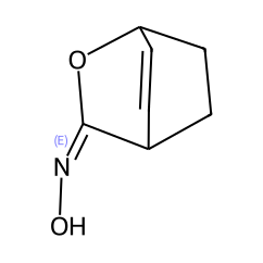 O/N=C1/OC2C=CC1CC2